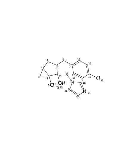 CC12CC1CC(Cc1ccc(Cl)cc1)C2(O)Cn1cncn1